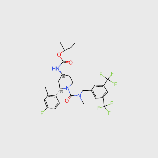 CCC(C)OC(=O)N[C@H]1CCN(C(=O)N(C)Cc2cc(C(F)(F)F)cc(C(F)(F)F)c2)[C@H](c2ccc(F)cc2C)C1